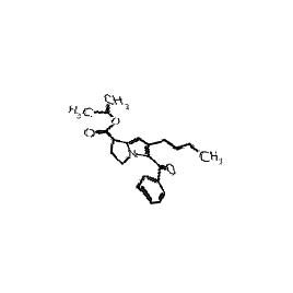 CCCCc1cc2n(c1C(=O)c1ccccc1)CCC2C(=O)OC(C)C